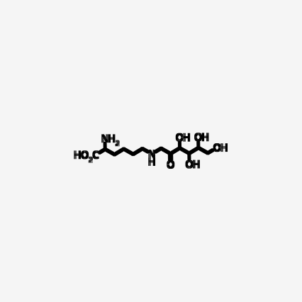 NC(CCCCNCC(=O)C(O)C(O)C(O)CO)C(=O)O